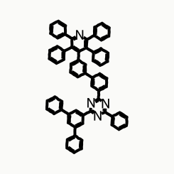 c1ccc(-c2cc(-c3ccccc3)cc(-c3nc(-c4ccccc4)nc(-c4cccc(-c5cccc(-c6c(-c7ccccc7)c(-c7ccccc7)nc(-c7ccccc7)c6-c6ccccc6)c5)c4)n3)c2)cc1